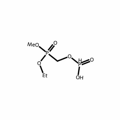 CCOP(=O)(CO[PH](=O)O)OC